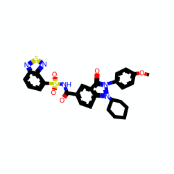 COc1ccc(-n2c(=O)c3cc(C(=O)NS(=O)(=O)c4cccc5nsnc45)ccc3n2C2CCCCC2)cc1